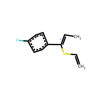 C=CS/C(=C\C)c1ccc(F)cc1